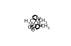 Cc1ccc(S(=O)(=O)[O-])cc1.Cc1ccc[n+](C)c1C